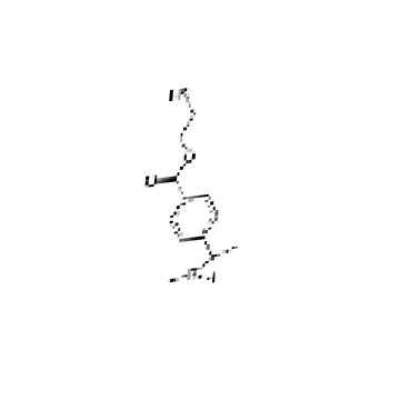 CB1CC1(C)c1ccc(C(=O)OCCS)cc1